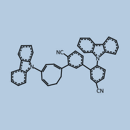 N#Cc1ccc(-n2c3ccccc3c3ccccc32)c(-c2ccc(C#N)c(/C3=C/C=C(n4c5ccccc5c5ccccc54)\C=C/CC3)c2)c1